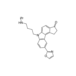 CC(C)NCCCCn1c2ccc(-c3ncco3)cc2c2c3c(ccc21)C(=O)CC3